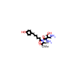 COC(=O)C(C(C)C)N(C(=O)CCCCCc1ccc(O)cc1)C(=O)C(N)C(CN)CO